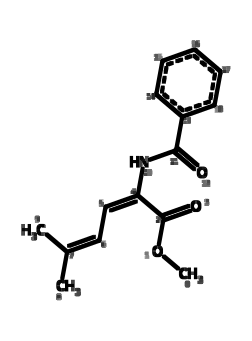 COC(=O)C(=CC=C(C)C)NC(=O)c1ccccc1